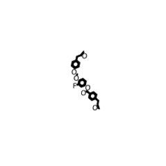 O=C(Oc1ccc(OCOc2ccc(CC3CO3)cc2)c(F)c1)c1ccc(CC2CO2)cc1